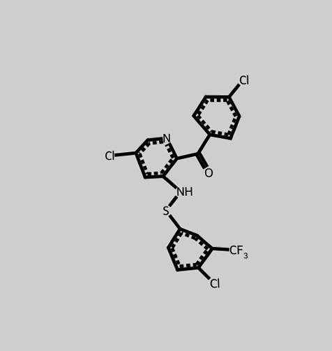 O=C(c1ccc(Cl)cc1)c1ncc(Cl)cc1NSc1ccc(Cl)c(C(F)(F)F)c1